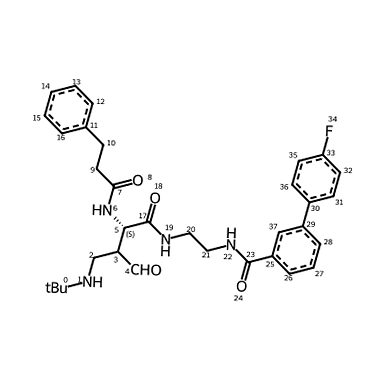 CC(C)(C)NCC(C=O)[C@H](NC(=O)CCc1ccccc1)C(=O)NCCNC(=O)c1cccc(-c2ccc(F)cc2)c1